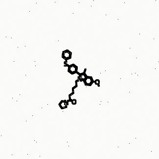 COc1ccc2c(c1)c(C)c(-c1ccc(Sc3ccccc3)cc1)n2CCCCCC(=O)N1CCCC1